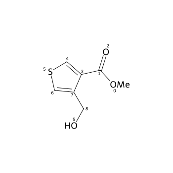 COC(=O)c1cscc1CO